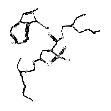 CC1=Cc2ccccc2[CH]1[AlH2].CCCCC(CC)COC(=O)CC(C(=O)OCC(CC)CCCC)S(=O)(=O)O.[NaH]